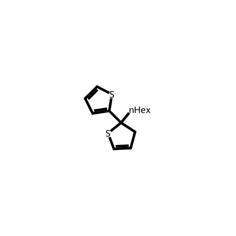 CCCCCCC1(c2cccs2)CC=CS1